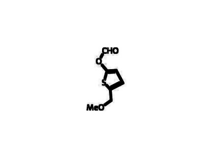 COCc1ccc(OC=O)s1